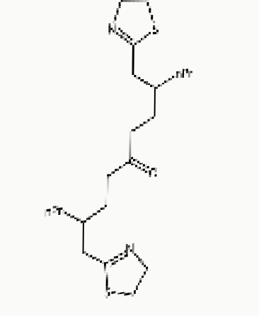 CCCC(CCC(=O)CCC(CCC)CC1=NCCS1)CC1=NCCS1